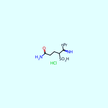 CCCC(=N)C(CCC(N)=O)S(=O)(=O)O.Cl